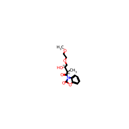 COCCOC[C@@H](O)[C@@H](C)C(=O)n1c(=O)oc2ccccc21